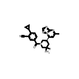 Cc1cc([C@@H]2CN(C(=O)c3ccc(C4CC4)c(C#N)c3)CC(F)(P)C2)n2ncnc2n1